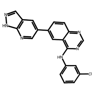 Clc1cccc(Nc2ncnc3ccc(-c4cnc5[nH]ncc5c4)cc23)c1